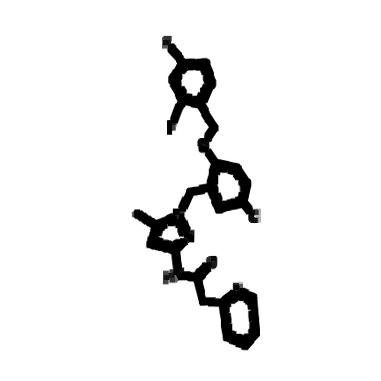 Cc1cc(NC(=O)Cc2ccccn2)nn1Cc1cc(Cl)ccc1OCc1ccc(F)cc1F